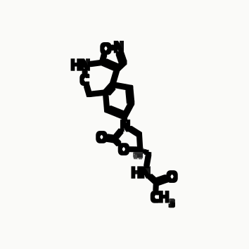 CC(=O)NC[C@H]1CN(c2ccc3c(c2)CCNc2oncc2-3)C(=O)O1